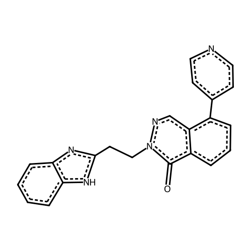 O=c1c2cccc(-c3ccncc3)c2cnn1CCc1nc2ccccc2[nH]1